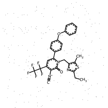 [C-]#[N+]c1c(C(F)(F)C(F)(F)F)cc(-c2ccc(Oc3ccccc3)cc2)n(Cc2nc(CC)sc2C)c1=O